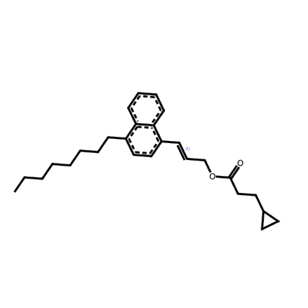 CCCCCCCCc1ccc(/C=C/COC(=O)CCC2CC2)c2ccccc12